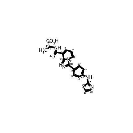 C[C@@H](NC(=O)c1cccn2c(-c3ccc(Nc4nccs4)cc3)nnc12)C(=O)O